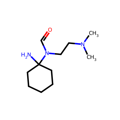 CN(C)CCN(C=O)C1(N)CCCCC1